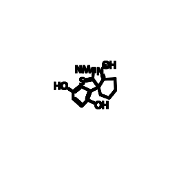 CNC(=S)C1(c2cc(O)ccc2O)CCCCC1=NO